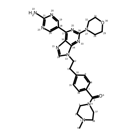 CN1CCN(C(=O)c2ccc(CCn3cnc4c(-c5cnc(N)nc5)nc(N5CCOCC5)nc43)cc2)CC1